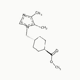 COC(=O)[C@H]1CC[C@H](Cn2cnc(C)c2C)CC1